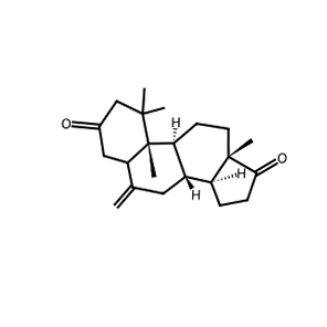 C=C1C[C@@H]2[C@H](CC[C@]3(C)C(=O)CC[C@@H]23)[C@]2(C)C1CC(=O)CC2(C)C